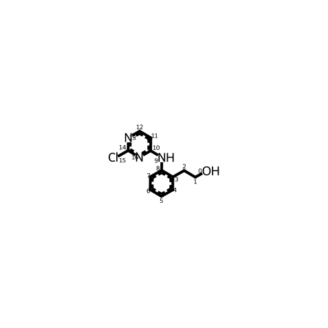 OCCc1ccccc1Nc1ccnc(Cl)n1